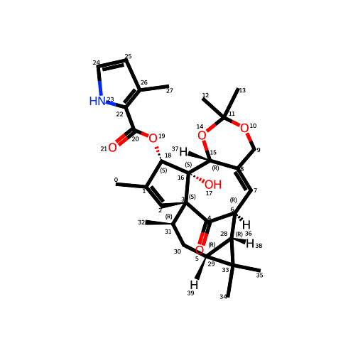 CC1=C[C@]23C(=O)[C@@H](C=C4COC(C)(C)O[C@H]4[C@]2(O)[C@H]1OC(=O)c1[nH]ccc1C)[C@H]1[C@@H](C[C@H]3C)C1(C)C